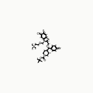 CC(C)(C)OC(=O)N1CCC(C(OCc2nc3cc(F)c(Cl)cc3n2COCC[Si](C)(C)C)c2ccc(Br)cc2)CC1